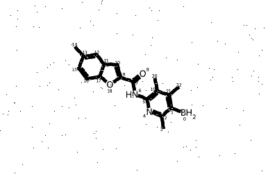 Bc1c(C)nc(NC(=O)C2=CC3C=C(C)C=CC3O2)c(C)c1C